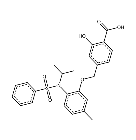 Cc1ccc(N(C(C)C)S(=O)(=O)c2ccccc2)c(OCc2ccc(C(=O)O)c(O)c2)c1